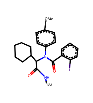 CCCCNC(=O)C(C1CCCCC1)N(C(=O)c1ccccc1I)c1ccc(OC)cc1